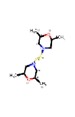 CC1CN(SSN2CC(C)OC(C)C2)CC(C)O1